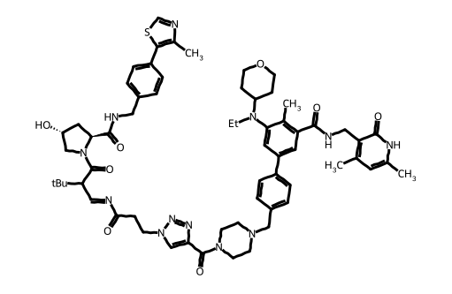 CCN(c1cc(-c2ccc(CN3CCN(C(=O)c4cn(CCC(=O)/N=C/C(C(=O)N5C[C@H](O)C[C@H]5C(=O)NCc5ccc(-c6scnc6C)cc5)C(C)(C)C)nn4)CC3)cc2)cc(C(=O)NCc2c(C)cc(C)[nH]c2=O)c1C)C1CCOCC1